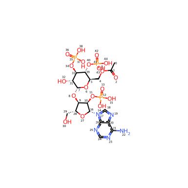 CC(=O)OC[C@H]1O[C@H](O[C@H]2[C@@H](OP(=O)(O)O)[C@H](n3cnc4c(N)ncnc43)O[C@@H]2CO)[C@H](O)[C@@H](OP(=O)(O)O)[C@@H]1OP(=O)(O)O